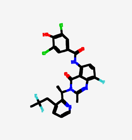 Cc1nc2c(F)ccc(NC(=O)c3cc(Cl)c(O)c(Cl)c3)c2c(=O)n1[C@H](C)c1ncccc1CC(C)(F)F